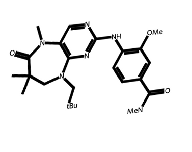 CNC(=O)c1ccc(Nc2ncc3c(n2)N(CC(C)(C)C)CC(C)(C)C(=O)N3C)c(OC)c1